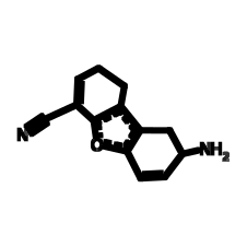 N#CC1=CCCc2c1oc1c2CC(N)C=C1